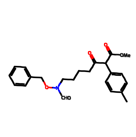 COC(=O)C(C(=O)CCCCN(C=O)OCc1ccccc1)c1ccc(C)cc1